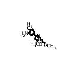 COC[C@H](O)Cn1nc(-c2ccc(C)c(N)c2)cc1C